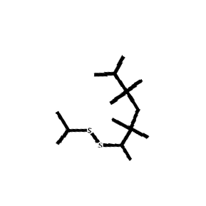 CC(C)SSC(C)C(C)(C)CC(C)(C)C(C)C